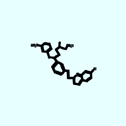 CC(CCC(Sc1cccc(C(=O)O)c1)c1cccc(C=Cc2ccc3ccc(Cl)cc3n2)c1)CC(=O)O